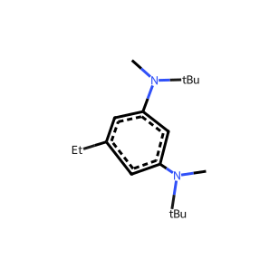 CCc1cc(N(C)C(C)(C)C)cc(N(C)C(C)(C)C)c1